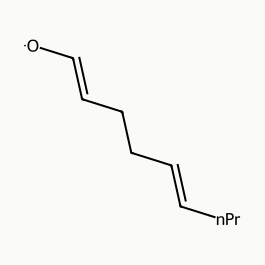 CCC/C=C/CC/C=C/[O]